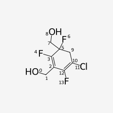 OCC1=C(F)C(F)(CO)CC(Cl)=C1F